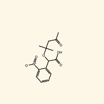 CC(=O)CC(C)(C)OC(C(=O)O)c1ccccc1[N+](=O)[O-]